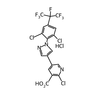 Cl.O=C(O)c1cc(-c2cnn(-c3c(Cl)cc(C(F)(C(F)(F)F)C(F)(F)F)cc3Cl)c2)cnc1Cl